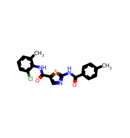 Cc1ccc(C(=O)Nc2ncc(C(=O)Nc3c(C)cccc3Cl)s2)cc1